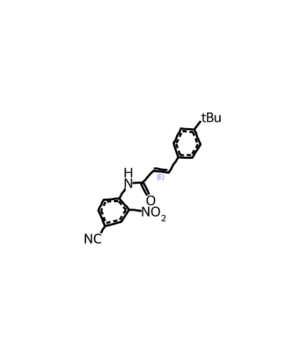 CC(C)(C)c1ccc(/C=C/C(=O)Nc2ccc(C#N)cc2[N+](=O)[O-])cc1